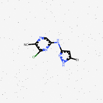 CCc1cc(Nc2cnc(C#N)c(Cl)n2)n[nH]1